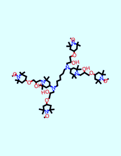 CON1C(C)(C)CC(OCC(O)CN(CCCCCCN(CC(O)COC2CC(C)(C)N(OC)C(C)(C)C2)C2CC(C)(C)N(CC(O)COC3CC(C)(C)N(OC)C(C)(C)C3)C(C)(C)C2)C2CC(C)(C)N(CC(O)COC3CC(C)(C)N(OC)C(C)(C)C3)C(C)(C)C2)CC1(C)C